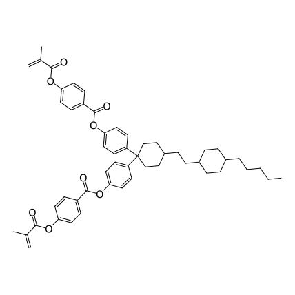 C=C(C)C(=O)Oc1ccc(C(=O)Oc2ccc(C3(c4ccc(OC(=O)c5ccc(OC(=O)C(=C)C)cc5)cc4)CCC(CCC4CCC(CCCCC)CC4)CC3)cc2)cc1